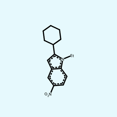 CCn1c(C2CCCCC2)cc2cc([N+](=O)[O-])ccc21